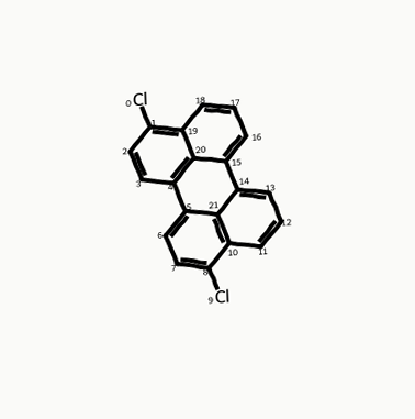 Clc1ccc2c3ccc(Cl)c4cccc(c5cccc1c52)c43